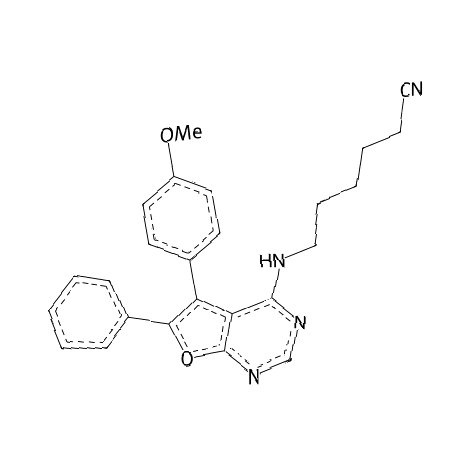 COc1ccc(-c2c(-c3ccccc3)oc3ncnc(NCCCCCC#N)c23)cc1